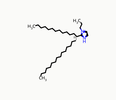 CCCCCCCCCCCCCCC[C@H](CCCCCCCCCCCC)c1[nH]cc[n+]1CCC